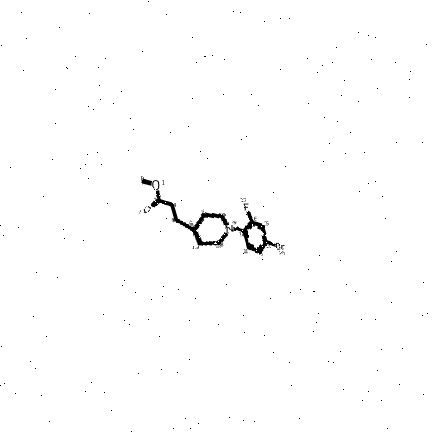 COC(=O)CCC1CCN(c2ccc(Br)cc2F)CC1